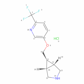 Cl.FC(F)(F)c1ccc(OC[C@H]2[C@@H]3CNC[C@@H]32)cn1